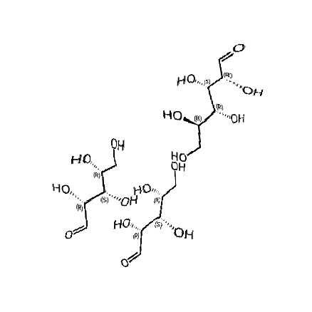 O=C[C@H](O)[C@@H](O)[C@H](O)CO.O=C[C@H](O)[C@@H](O)[C@H](O)CO.O=C[C@H](O)[C@@H](O)[C@H](O)[C@H](O)CO